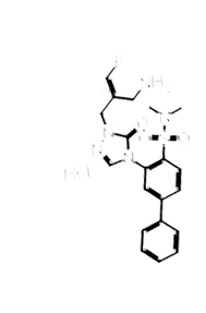 CN(C)S(=O)(=O)c1ccc(-c2ccccc2)cc1-n1cnn(C/C(=C/F)CN)c1=O.Cl